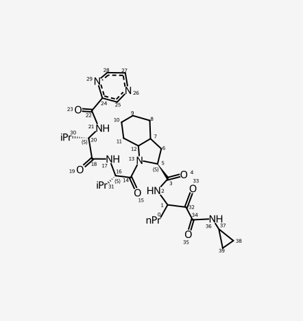 CCCC(NC(=O)[C@@H]1CC2CCCCC2N1C(=O)[C@@H](NC(=O)[C@@H](NC(=O)c1cnccn1)C(C)C)C(C)C)C(=O)C(=O)NC1CC1